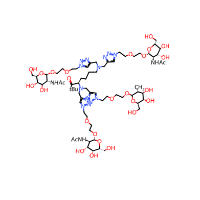 CC(=O)N[C@H]1[C@H](OCCOCCn2cc(CN(CCCC[C@H](C(=O)C(C)(C)C)N(Cc3cn(CCOCCOC4O[C@H](CO)[C@H](O)[C@H](O)[C@H]4C)nn3)Cc3cn(CCOCCO[C@@H]4O[C@H](CO)[C@H](O)[C@H](O)[C@H]4NC(C)=O)nn3)Cc3cn(CCOCCO[C@@H]4O[C@H](CO)[C@H](O)[C@H](O)[C@H]4NC(C)=O)nn3)nn2)O[C@H](CO)[C@H](O)[C@@H]1O